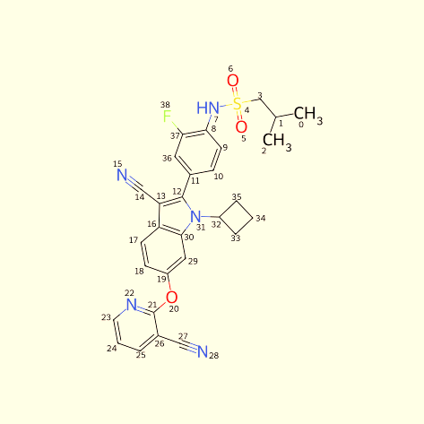 CC(C)CS(=O)(=O)Nc1ccc(-c2c(C#N)c3ccc(Oc4ncccc4C#N)cc3n2C2CCC2)cc1F